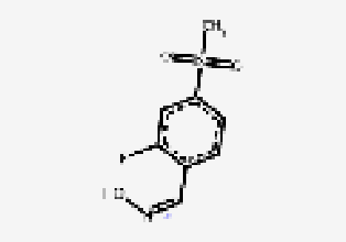 CS(=O)(=O)c1ccc(/C=N\O)c(F)c1